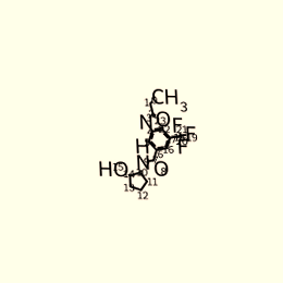 CCc1nc2cc(C(=O)NC3CCCC3O)cc(C(F)(F)F)c2o1